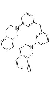 C#CC1=C(/C=C\C)CCN(c2cccc(Cc3cccc(N4CCc5ccccc5C4)c3)c2)C1